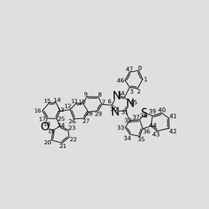 c1ccc(-c2nc(-c3ccc4cc(-c5cccc6oc7ccccc7c56)ccc4c3)nc(-c3cccc4c3sc3ccccc34)n2)cc1